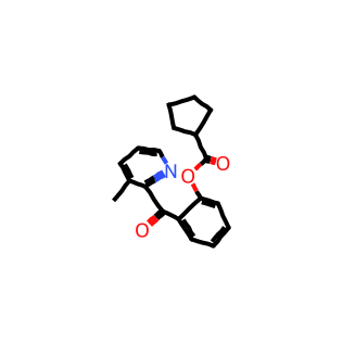 Cc1cccnc1C(=O)c1ccccc1OC(=O)C1CCCC1